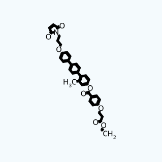 C=COC(=O)CCOc1ccc(C(=O)Oc2ccc(-c3ccc(-c4ccc(OCCCN5C(=O)C=CC5=O)cc4)cc3)c(C)c2)cc1